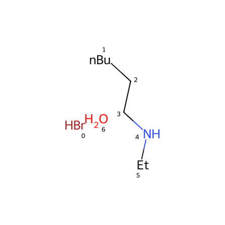 Br.CCCCCCNCC.O